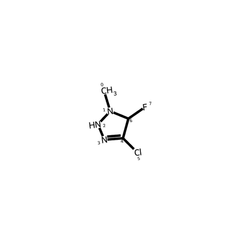 CN1NN=C(Cl)C1F